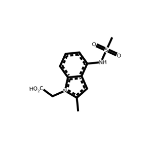 Cc1cc2c(NS(C)(=O)=O)cccc2n1CC(=O)O